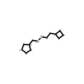 C1CC(CCSSCC2CCCC2)C1